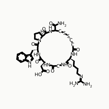 NC(=O)C1CSSCCC(=O)N[C@@H](CCCCN=C(N)N)C(=O)NCC(=O)N[C@@H](CC(=O)O)C(=O)N[C@H](Cc2c[nH]c3ccccc23)C(=O)N2CCC[C@H]2C(=O)N1